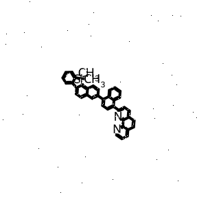 C[Si]1(C)c2ccccc2-c2ccc3cc(-c4ccc(-c5ccc6ccc7cccnc7c6n5)c5ccccc45)ccc3c21